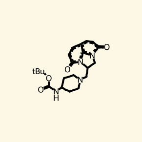 CC(C)(C)OC(=O)NC1CCN(CC2Cn3c(=O)ccc4ccc(=O)n2c43)CC1